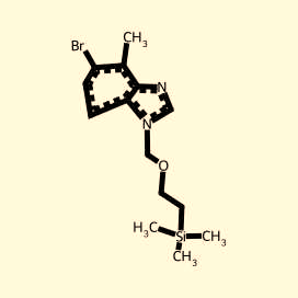 Cc1c(Br)ccc2c1ncn2COCC[Si](C)(C)C